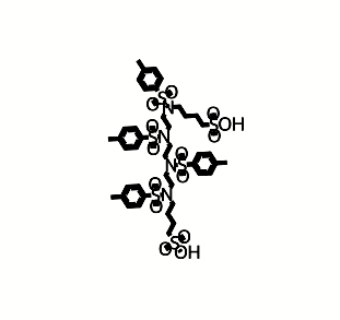 Cc1ccc(S(=O)(=O)N(CCCCS(=O)(=O)O)CCN(CCN(CCN(CCCCS(=O)(=O)O)S(=O)(=O)c2ccc(C)cc2)S(=O)(=O)c2ccc(C)cc2)S(=O)(=O)c2ccc(C)cc2)cc1